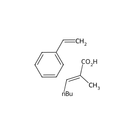 C=Cc1ccccc1.CCCCC=C(C)C(=O)O